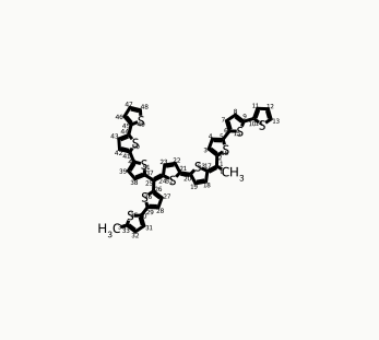 C/C(c1ccc(-c2ccc(-c3cccs3)s2)s1)=c1\cc/c(=c2/cc/c(=C(/c3ccc(-c4ccc(C)s4)s3)c3ccc(-c4ccc(-c5cccs5)s4)s3)s2)s1